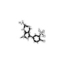 Cn1nc(-c2ccc(Cl)c(S(=O)(=O)Cl)c2)c2cnc(N)nc21